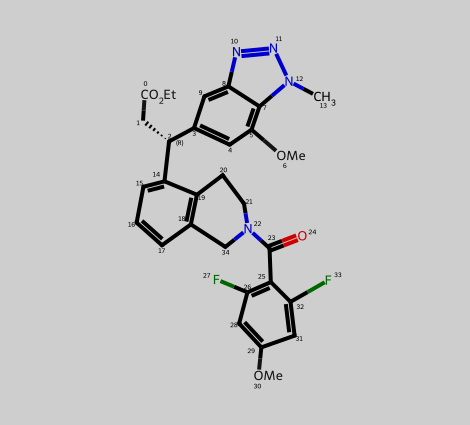 CCOC(=O)C[C@H](c1cc(OC)c2c(c1)nnn2C)c1cccc2c1CCN(C(=O)c1c(F)cc(OC)cc1F)C2